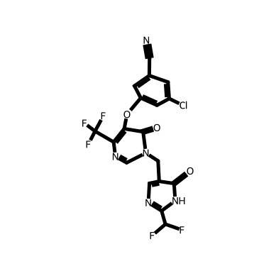 N#Cc1cc(Cl)cc(Oc2c(C(F)(F)F)ncn(Cc3cnc(C(F)F)[nH]c3=O)c2=O)c1